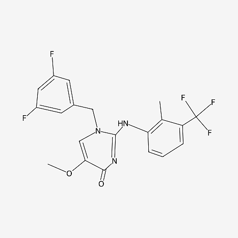 COc1cn(Cc2cc(F)cc(F)c2)c(Nc2cccc(C(F)(F)F)c2C)nc1=O